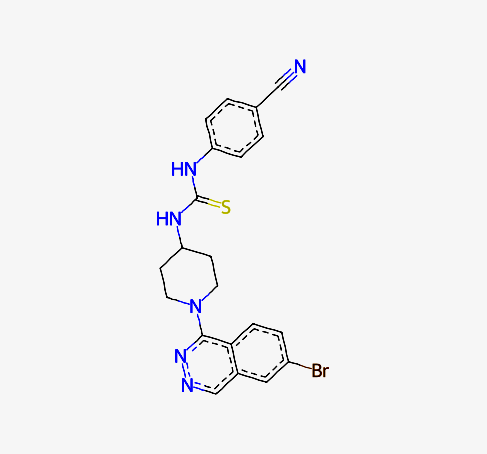 N#Cc1ccc(NC(=S)NC2CCN(c3nncc4cc(Br)ccc34)CC2)cc1